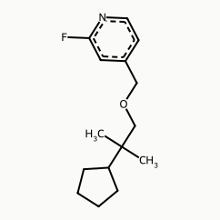 CC(C)(COCc1ccnc(F)c1)C1CCCC1